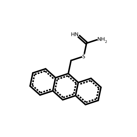 N=C(N)SCc1c2ccccc2cc2ccccc12